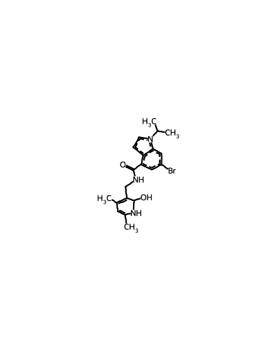 CC1=CC(C)=C(CNC(=O)c2cc(Br)cc3c2ccn3C(C)C)C(O)N1